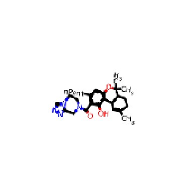 CCCCCc1cc2c(c(O)c1C(=O)N1CCn3cnnc3C1)C1C=C(C)CCC1C(C)(C)O2